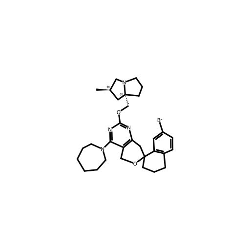 C[C@H]1CN2CCC[C@@]2(COc2nc3c(c(N4CCCCCC4)n2)COC2(CCCc4ccc(Br)cc42)C3)C1